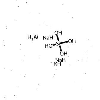 O[Si](O)(O)O.[AlH3].[KH].[NaH].[NaH]